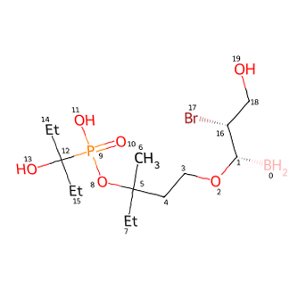 B[C@H](OCCC(C)(CC)OP(=O)(O)C(O)(CC)CC)[C@H](Br)CO